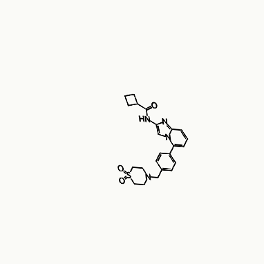 O=C(Nc1cn2c(-c3ccc(CN4CCS(=O)(=O)CC4)cc3)cccc2n1)C1CCC1